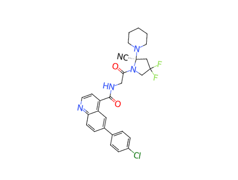 N#C[C@]1(N2CCCCC2)CC(F)(F)CN1C(=O)CNC(=O)c1ccnc2ccc(-c3ccc(Cl)cc3)cc12